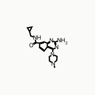 CN1CCN(c2nc(N)nc3cc(C(=O)NCC4CC4)ccc23)CC1